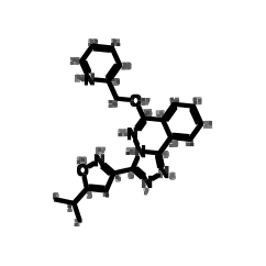 CC(C)c1cc(-c2nnc3c4ccccc4c(OCc4ccccn4)nn23)no1